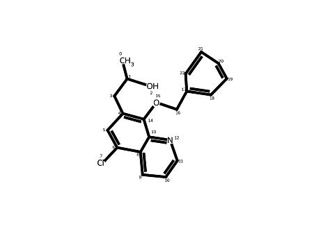 CC(O)Cc1cc(Cl)c2cccnc2c1OCc1ccccc1